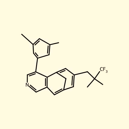 Cc1cc(C)cc(-c2cncc3c2C2=CC(CC(C)(C)C(F)(F)F)=CC(=C3)C2)c1